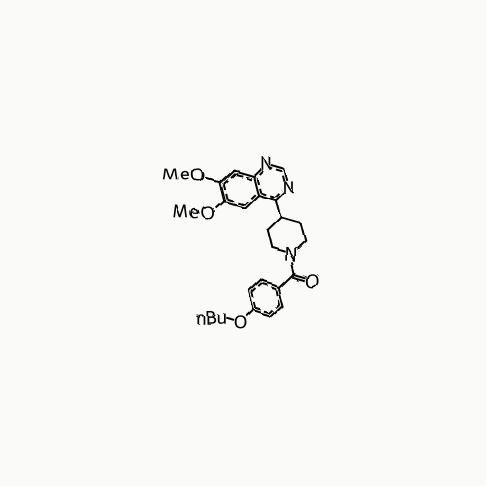 CCCCOc1ccc(C(=O)N2CCC(c3ncnc4cc(OC)c(OC)cc34)CC2)cc1